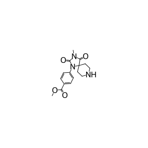 COC(=O)c1ccc(N2C(=O)N(C)C(=O)C23CCNCC3)cc1